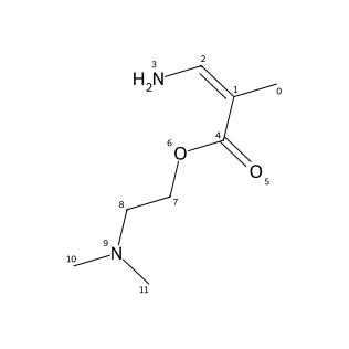 CC(=CN)C(=O)OCCN(C)C